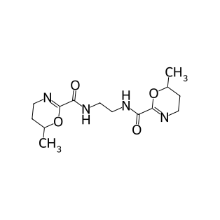 CC1CCN=C(C(=O)NCCNC(=O)C2=NCCC(C)O2)O1